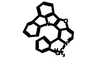 Cc1ccccc1-c1c2c(cc[n+]1C)oc1c3cccc4c5ccccc5n(c43)c12